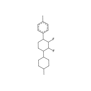 Cc1ccc(C2CCC(C3CCC(C)CC3)C(F)C2F)cc1